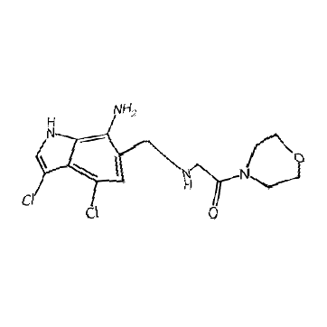 Nc1c(CNCC(=O)N2CCOCC2)cc(Cl)c2c(Cl)c[nH]c12